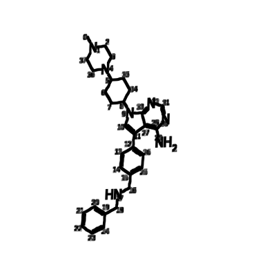 CN1CCN(C2CCC(n3cc(-c4ccc(CNCc5ccccc5)cc4)c4c(N)ncnc43)CC2)CC1